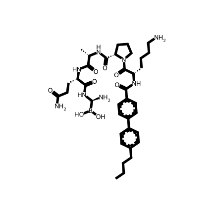 CCCCc1ccc(-c2ccc(C(=O)N[C@@H](CCCCN)C(=O)N3CCC[C@H]3C(=O)N[C@@H](C)C(=O)N[C@@H](CCC(N)=O)C(=O)N[C@@H](N)B(O)O)cc2)cc1